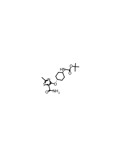 Cc1nc(O[C@H]2CC[C@H](NC(=O)OC(C)(C)C)CC2)c(C(N)=O)s1